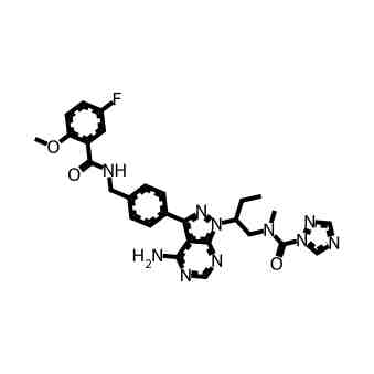 CCC(CN(C)C(=O)n1cncn1)n1nc(-c2ccc(CNC(=O)c3cc(F)ccc3OC)cc2)c2c(N)ncnc21